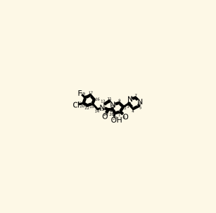 O=c1c(-c2ccncn2)cn2ccn(Cc3ccc(F)c(Cl)c3)c(=O)c2c1O